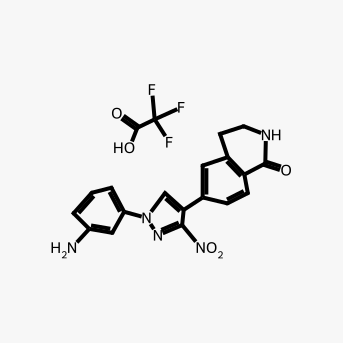 Nc1cccc(-n2cc(-c3ccc4c(c3)CCNC4=O)c([N+](=O)[O-])n2)c1.O=C(O)C(F)(F)F